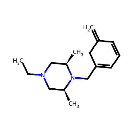 C=C1C=CC=C(CN2[C@H](C)CN(CC)C[C@@H]2C)C1